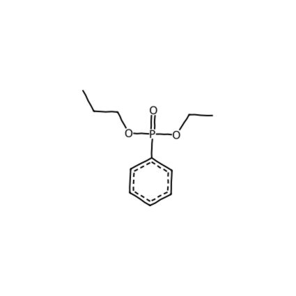 CCCOP(=O)(OCC)c1ccccc1